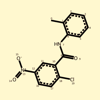 Cc1c[c]ccc1NC(=O)c1cc([N+](=O)[O-])ccc1Cl